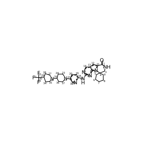 O=C1NCC2(CCCCC2)n2c1cc1cnc(Nc3ccc(N4CCC(N5CCC(C(F)(F)F)CC5)CC4)cn3)nc12